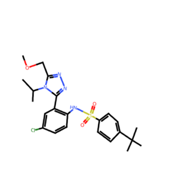 COCc1nnc(-c2cc(Cl)ccc2NS(=O)(=O)c2ccc(C(C)(C)C)cc2)n1C(C)C